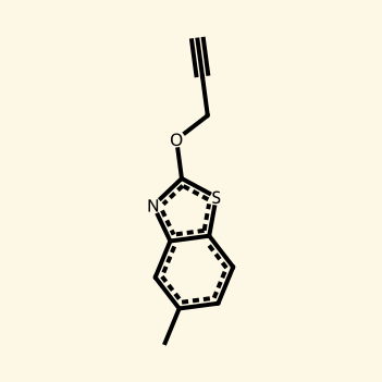 C#CCOc1nc2cc(C)ccc2s1